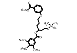 COc1cc(C(=O)OC(CCCOc2cccc(C(=O)OC(C)(C)C)c2)CCO[Si](C)(C)C(C)(C)C)cc(OC)c1OC